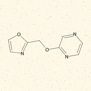 [c]1nccnc1OCc1ncco1